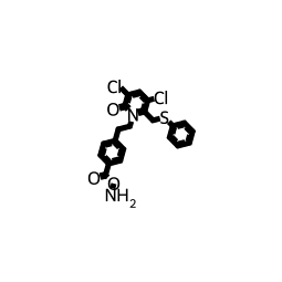 NOC(=O)c1ccc(CCn2c(CSc3ccccc3)c(Cl)cc(Cl)c2=O)cc1